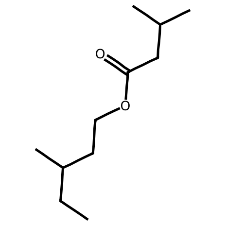 CCC(C)CCOC(=O)CC(C)C